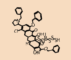 O=C1C2=C(O)[C@]3(SOB(I)SSS)C(=O)c4c(OCc5ccccc5)noc4C[C@@H]3CC2Cc2c(Cl)c(C3CCCN3Cc3ccccc3)cc(OCc3ccccc3)c21